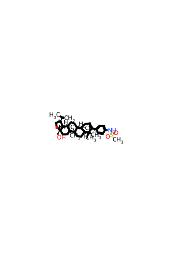 C=C(C)[C@@H]1CC[C@]2(CO)CC[C@]3(C)[C@H](CC[C@@H]4[C@@]5(C)CC=C(c6ccc(NS(C)(=O)=O)cc6)C(C)(C)[C@@H]5CC[C@]43C)[C@@H]12